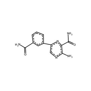 NC(=O)c1cccc(-c2cnc(N)c(C(N)=O)n2)c1